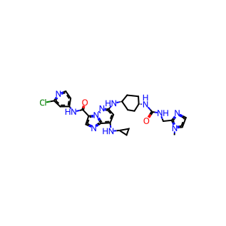 Cn1ccnc1CNC(=O)N[C@H]1CC[C@H](Nc2cc(NC3CC3)c3ncc(C(=O)Nc4ccnc(Cl)c4)n3n2)CC1